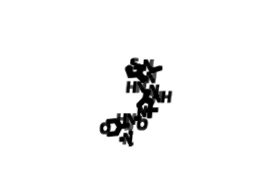 Cc1nc(Nc2n[nH]c3c2CN(C(=O)N[C@H](CN(C)C)C2CCOCC2)C3(C)C)c2ccsc2n1